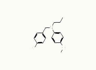 CCCN(Cc1ccc(Br)cc1)c1ccc(OC)cc1